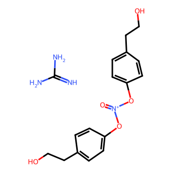 N=C(N)N.O=[N+](Oc1ccc(CCO)cc1)Oc1ccc(CCO)cc1